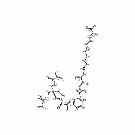 C=C(C)C(=O)OCC(CC)(COC(=O)C(=C)C)COC(=O)C(=C)C.C=C(C)C(=O)OCCOCCOCCOC(=O)C(=C)C.C=C(C)c1ccccc1